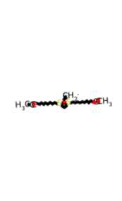 [CH2]CCc1c(SCCCCCCCCCCCCCC)cccc1SCCCCCCCCCCCCCC